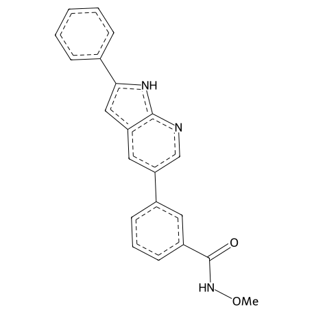 CONC(=O)c1cccc(-c2cnc3[nH]c(-c4ccccc4)cc3c2)c1